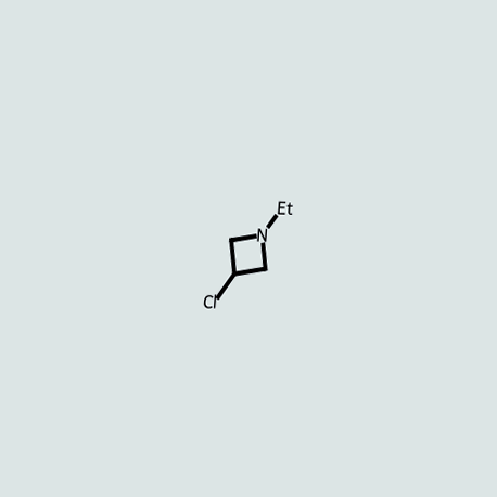 CCN1CC(Cl)C1